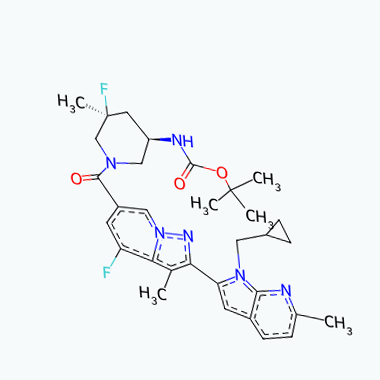 Cc1ccc2cc(-c3nn4cc(C(=O)N5C[C@H](NC(=O)OC(C)(C)C)C[C@](C)(F)C5)cc(F)c4c3C)n(CC3CC3)c2n1